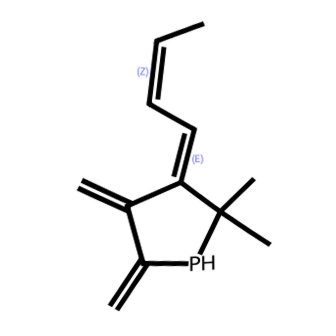 C=C1PC(C)(C)/C(=C/C=C\C)C1=C